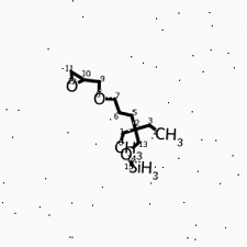 CCC(CC)(CCCOCC1CO1)CO[SiH3]